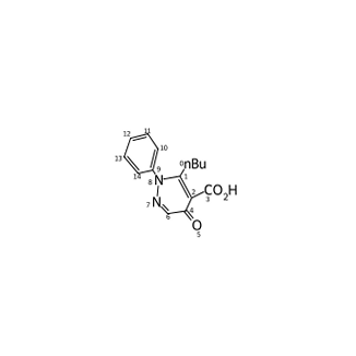 CCCCc1c(C(=O)O)c(=O)cnn1-c1ccccc1